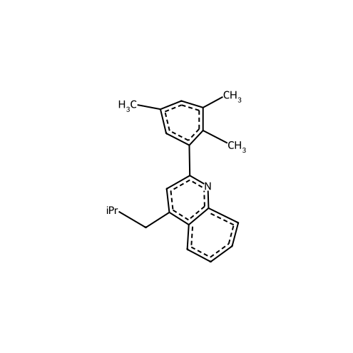 Cc1cc(C)c(C)c(-c2cc(CC(C)C)c3ccccc3n2)c1